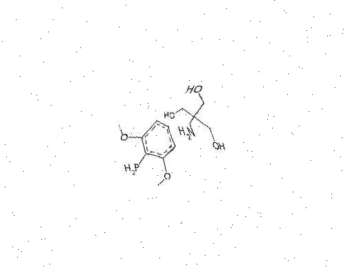 COc1cccc(OC)c1P.NC(CO)(CO)CO